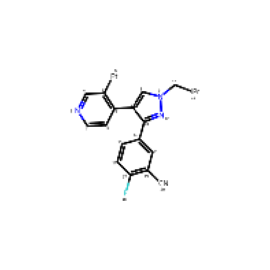 CCc1[c]nccc1-c1cn(CC(C)C)nc1-c1ccc(F)c(C#N)c1